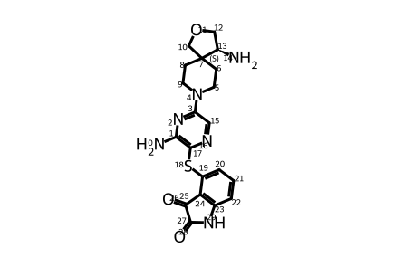 Nc1nc(N2CCC3(CC2)COC[C@H]3N)cnc1Sc1cccc2c1C(=O)C(=O)N2